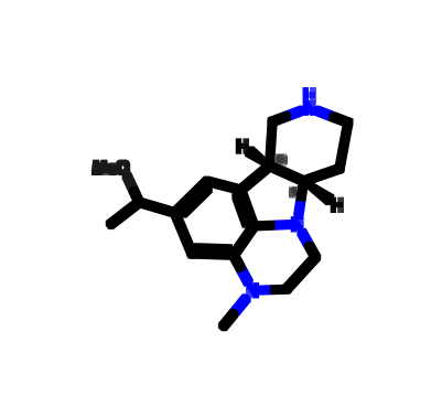 COC(C)c1cc2c3c(c1)N(C)CCN3[C@H]1CCNC[C@@H]21